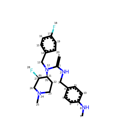 C=C(NCc1ccc(NC)cc1)N(Cc1ccc(F)cc1)[C@H]1CCN(C)C[C@H]1F